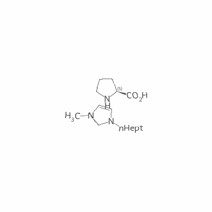 CCCCCCCN1C=CN(C)C1.O=C(O)[C@@H]1CCCN1